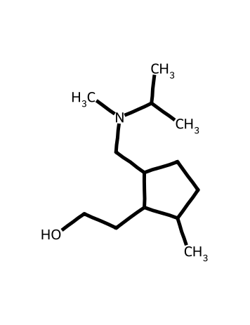 CC1CCC(CN(C)C(C)C)C1CCO